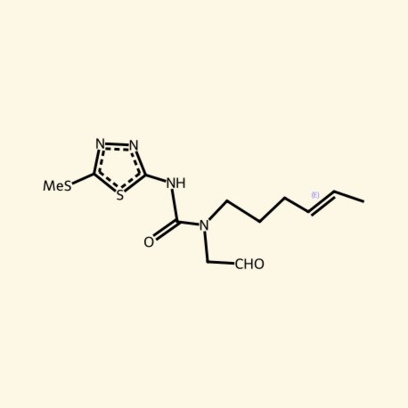 C/C=C/CCCN(CC=O)C(=O)Nc1nnc(SC)s1